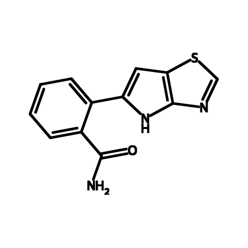 NC(=O)c1ccccc1-c1cc2scnc2[nH]1